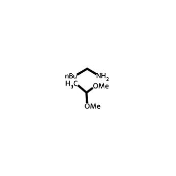 CCCCCN.COC(C)OC